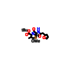 CO[C@H]1S[C@H]2[C@@H](NC(=O)Cc3ccco3)C(=O)N2C(C(=O)OC(C)(C)C)=C1C